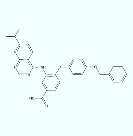 CC(C)c1ccc2c(Nc3cc(C(=O)O)ccc3Oc3ccc(OCc4ccccc4)cc3)ncnc2n1